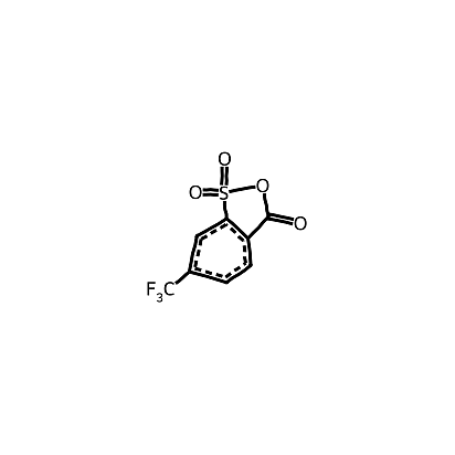 O=C1OS(=O)(=O)c2cc(C(F)(F)F)ccc21